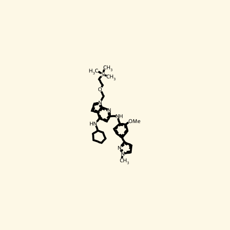 COc1cc(-c2ccn(C)n2)ccc1Nc1cc(NC2CCCCC2)c2ccn(COCC[Si](C)(C)C)c2n1